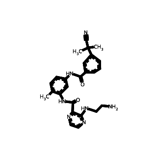 Cc1ccc(NC(=O)c2cccc(C(C)(C)C#N)c2)cc1NC(=O)c1nccnc1NCCN